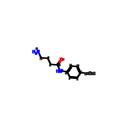 CCCCCCCCc1ccc(NC(=O)CCCN)cc1